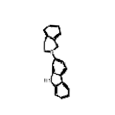 c1ccc2c(c1)CCN(c1ccc3c(c1)[nH]c1ccccc13)C2